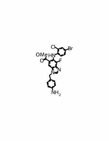 COC(=O)c1cc2c(ncn2Cc2ccc(N)cc2)c(F)c1Nc1ccc(Br)cc1Cl